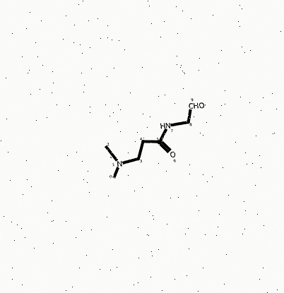 CN(C)CCC(=O)NC[C]=O